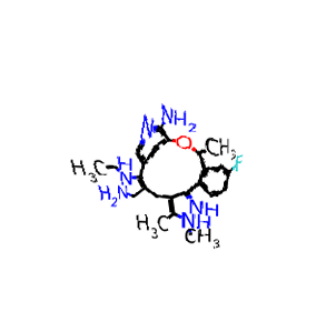 CCN/C1=C(\CN)C/C(=C(\C)NC)C(=N)c2ccc(F)cc2C(C)Oc2cc1cnc2N